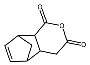 O=C1CC2C3C=CC(C3)C2C(=O)O1